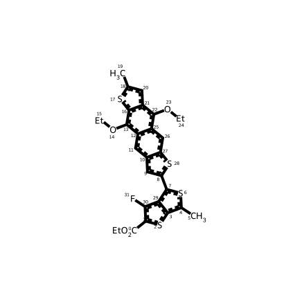 CCOC(=O)c1sc2c(C)sc(-c3cc4cc5c(OCC)c6sc(C)cc6c(OCC)c5cc4s3)c2c1F